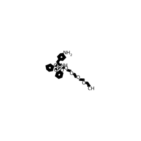 C#CCOCCOCCOCCOC(=O)NC(Cc1ccc(N)cc1)P(=O)(Oc1ccccc1)Oc1ccccc1